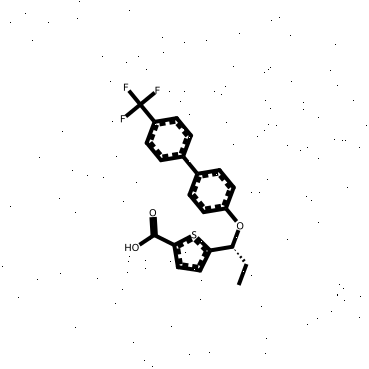 CC[C@@H](Oc1ccc(-c2ccc(C(F)(F)F)cc2)cc1)c1ccc(C(=O)O)s1